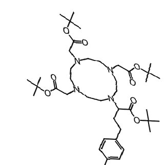 CC(C)(C)OC(=O)CN1CCN(CC(=O)OC(C)(C)C)CCN(C(CCc2ccc(N=S)cc2)C(=O)OC(C)(C)C)CCN(CC(=O)OC(C)(C)C)CC1